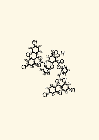 O=C(Oc1nccn1CCOC(c1ccc(Cl)cc1Cl)c1ccc(Cl)cc1Cl)c1cc(S(=O)(=O)O)ccc1Oc1nccn1CCOC(c1ccc(Cl)cc1Cl)c1ccc(Cl)cc1Cl